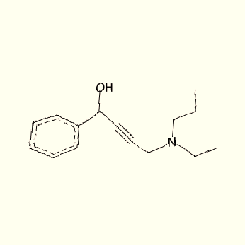 CCCN(CC)CC#CC(O)c1ccccc1